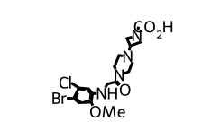 COc1cc(Br)c(Cl)cc1NCC(=O)N1CCN(C2CN(C(=O)O)C2)CC1